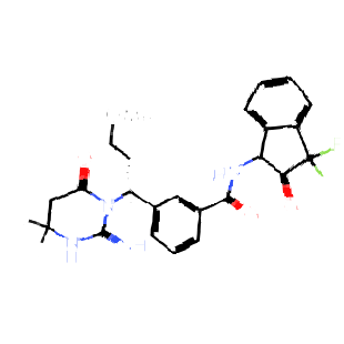 CCC1(CC)CC(=O)N([C@H](CCOC)c2cccc(C(=O)NC3C(=O)C(F)(F)c4ccccc43)c2)C(=N)N1